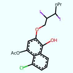 CCCC(I)C(I)COc1cc(OC(C)=O)c2c(Cl)cccc2c1O